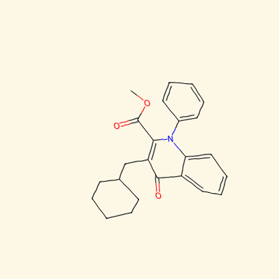 COC(=O)c1c(CC2CCCCC2)c(=O)c2ccccc2n1-c1ccccc1